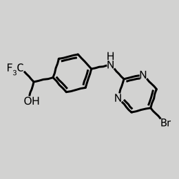 OC(c1ccc(Nc2ncc(Br)cn2)cc1)C(F)(F)F